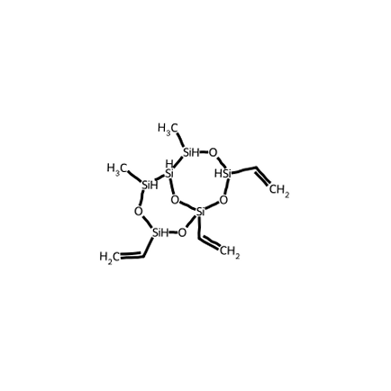 C=C[SiH]1O[SiH](C)[SiH]2O[Si](C=C)(O1)O[SiH](C=C)O[SiH]2C